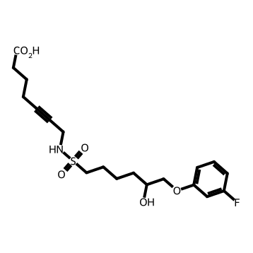 O=C(O)CCCC#CCNS(=O)(=O)CCCCC(O)COc1cccc(F)c1